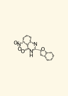 O=c1[nH]c(-c2cc3ccccc3o2)nc2cccc([N+](=O)[O-])c12